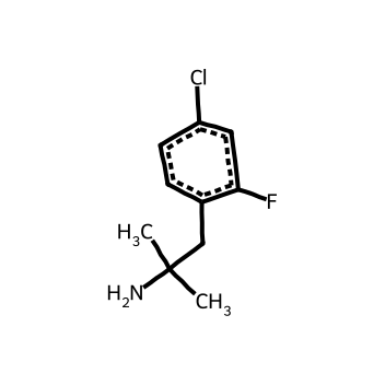 CC(C)(N)Cc1ccc(Cl)cc1F